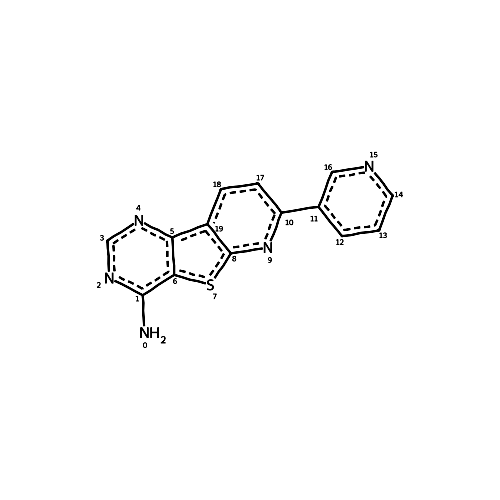 Nc1ncnc2c1sc1nc(-c3cccnc3)ccc12